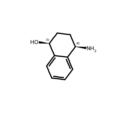 N[C@@H]1CC[C@H](O)c2ccccc21